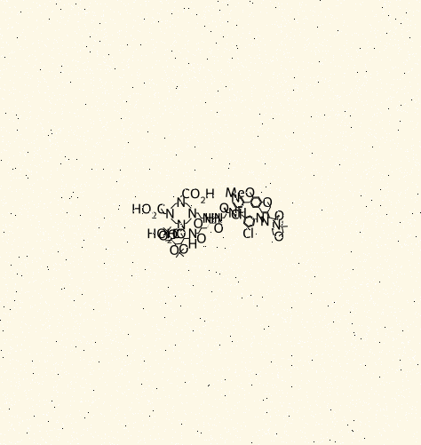 COc1cc2c(cc1-c1cncc(NC(=O)CNC(=O)[C@H](CCC(=O)NC[C@H](O)[C@H]3OC(C)(C)OC3[C@H]3COC(C)(C)O3)NC(=O)CN3CCN(CC(=O)O)CCN(CC(=O)O)CCN(CC(=O)O)CC3)c1)-c1c(c(C(=O)N3CCOCC3(C)C)nn1-c1cc(Cl)cc(Cl)c1)CO2